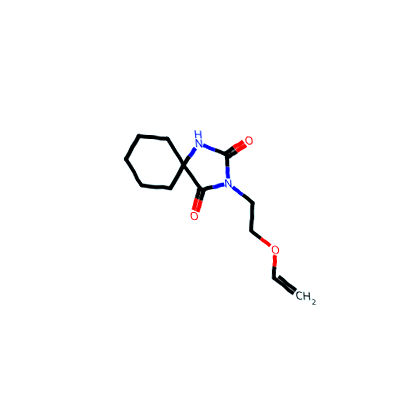 C=COCCN1C(=O)NC2(CCCCC2)C1=O